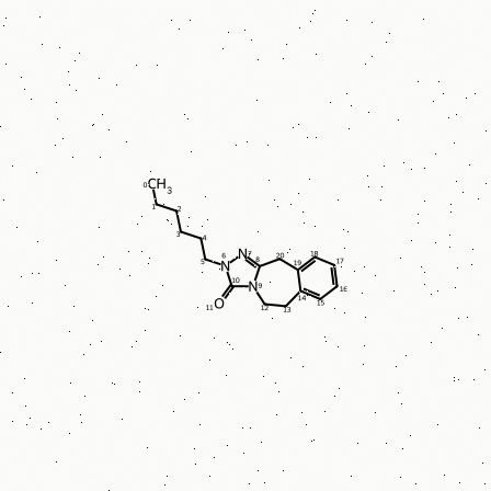 CCCCCCn1nc2n(c1=O)CCc1ccccc1C2